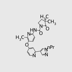 CCCn1cc(-c2cc(Oc3ccc(NC(=O)N4CCC(C)(C)C4=O)nc3C)ccn2)cn1